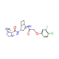 CN1CCNC1C(=O)NC1C[C@H](NC(=O)COc2ccc(Cl)c(F)c2)C2CCC12